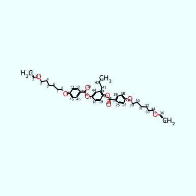 C=COCCCCCCOc1ccc(C(=O)Oc2ccc(OC(=O)c3ccc(OCCCCCCOC=C)cc3)c(CCC)c2)cc1